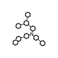 c1ccc(-c2ccc(N(c3ccc(-c4ccc5ccccc5c4)cc3)c3cccc(-c4cc(-c5ccccc5)cc(-c5ccccc5)c4)c3)cc2)cc1